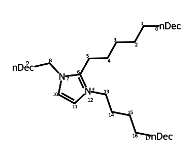 CCCCCCCCCCCCCCCc1n(CCCCCCCCCCC)cc[n+]1CCCCCCCCCCCCCC